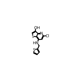 Oc1csc2c(NCc3cccs3)cc(Cl)nc12